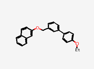 CCOc1ccc(-c2cccc(COc3ccc4ccccc4c3)c2)cc1